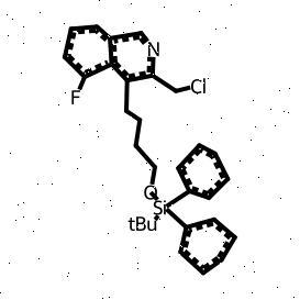 CC(C)(C)[Si](OCCCCc1c(CCl)ncc2cccc(F)c12)(c1ccccc1)c1ccccc1